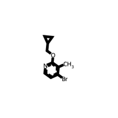 Cc1c(Br)ccnc1OCC1CC1